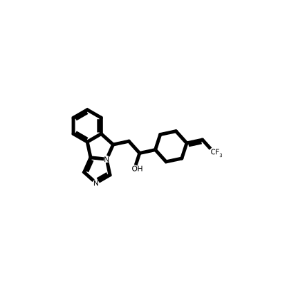 OC(CC1c2ccccc2-c2cncn21)C1CCC(=CC(F)(F)F)CC1